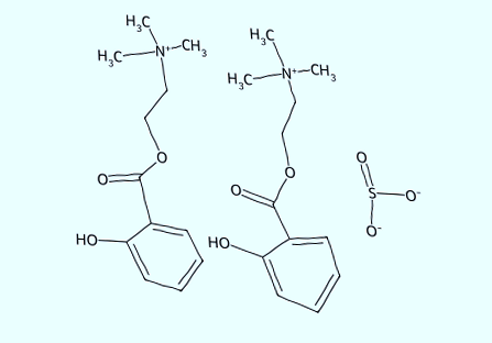 C[N+](C)(C)CCOC(=O)c1ccccc1O.C[N+](C)(C)CCOC(=O)c1ccccc1O.O=S([O-])[O-]